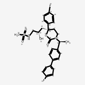 C[C@@H](c1ccc(-c2ccc(F)cc2)cc1)N1CC[C@](C[C@H](O)CNS(C)(=O)=O)(c2ccc(F)cc2)OC1=O